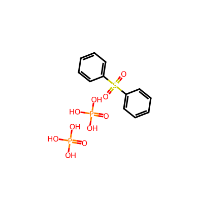 O=P(O)(O)O.O=P(O)(O)O.O=S(=O)(c1ccccc1)c1ccccc1